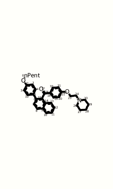 CCCCCOc1ccc(-c2ccc3ccccc3c2C(=O)c2ccc(OCCN3CCCCC3)cc2)cc1